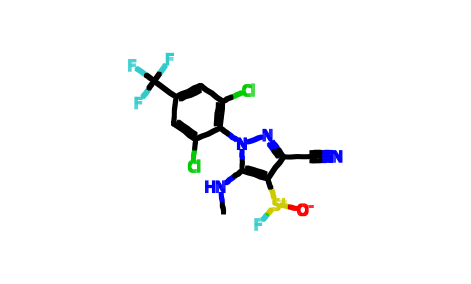 CNc1c([S+]([O-])F)c(C#N)nn1-c1c(Cl)cc(C(F)(F)F)cc1Cl